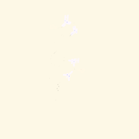 Cc1nc(C)c(Cc2ccc3c(c2)NC(=O)N(CC(F)F)C3(C#CC2CC2)C(F)(F)F)c(=O)[nH]1